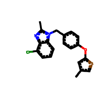 Cc1csc(Oc2ccc(Cn3c(C)nc4c(Cl)cccc43)cc2)c1